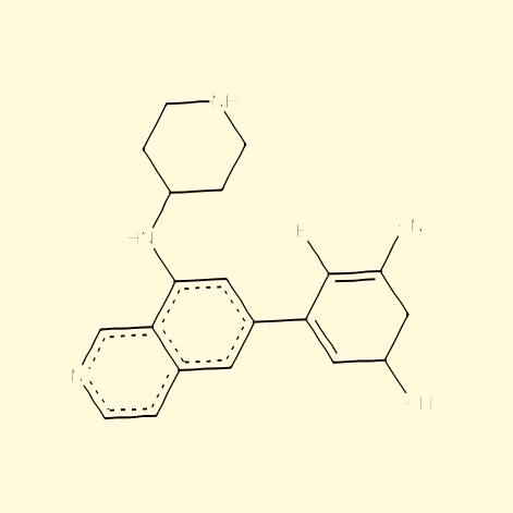 CC1C=C(c2cc(NC3CCNCC3)c3cnccc3c2)C(F)=C(C#N)C1